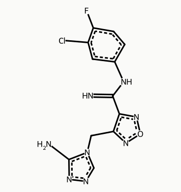 N=C(Nc1ccc(F)c(Cl)c1)c1nonc1Cn1cnnc1N